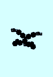 CC(C)(C)c1ccc(-c2ccc(N(c3ccc(-c4ccc(C(C)(C)C)cc4)cc3)c3cc(-c4ccc5c(c4)C(C)(C)c4ccccc4-5)c(C(C)(C)C)c(-c4ccc5c(c4)C(C)(C)c4ccccc4-5)c3)cc2)cc1